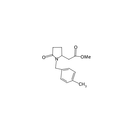 COC(=O)CC1CCC(=O)N1Cc1ccc(C)cc1